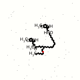 CCCCC/C=C\C/C=C\CC(CCCCC/C=C\C/C=C\CCCCCCCC(=O)NCCc1c[nH]c2ccc(OC)cc12)CCCCCC(=O)N(C)CCc1c[nH]c2ccc(OC)cc12